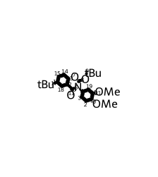 COc1ccc(N(C(=O)OC(C)(C)C)C(=O)c2cccc(C(C)(C)C)c2)cc1OC